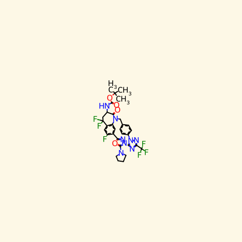 CC(C)(C)OC(=O)NC1CC(F)(F)c2cc(F)c(-c3nnc(N4CCCC4)o3)cc2N(Cc2ccc(-n3cnc(C(F)(F)F)n3)cc2)C1=O